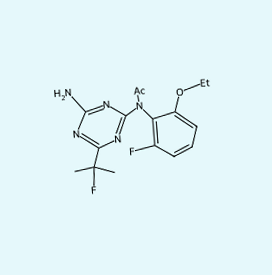 CCOc1cccc(F)c1N(C(C)=O)c1nc(N)nc(C(C)(C)F)n1